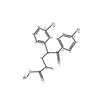 CC(C)OC(=O)C(C)CC(C(=O)c1ccc(Cl)cc1)c1cccc(Cl)c1